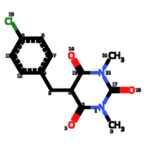 CN1C(=O)C(Cc2ccc(Cl)cc2)C(=O)N(C)C1=O